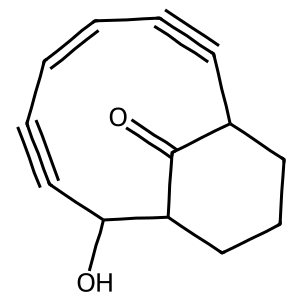 O=C1C2C#CC=CC#CC(O)C1CCC2